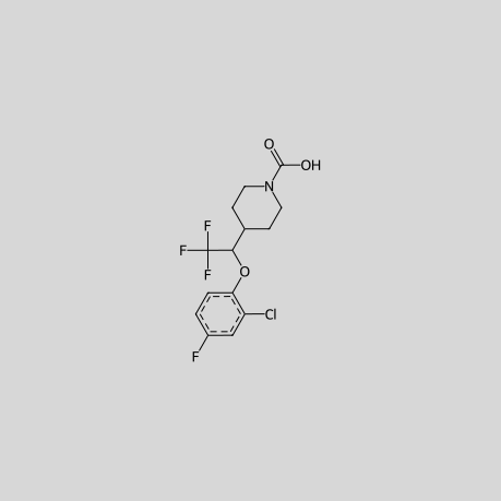 O=C(O)N1CCC(C(Oc2ccc(F)cc2Cl)C(F)(F)F)CC1